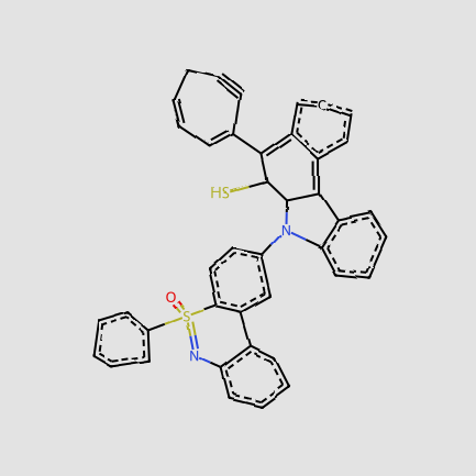 O=S1(c2ccccc2)=Nc2ccccc2-c2cc(N3c4ccccc4C4=c5ccccc5=C(C5=CC=CCC#C5)C(S)C43)ccc21